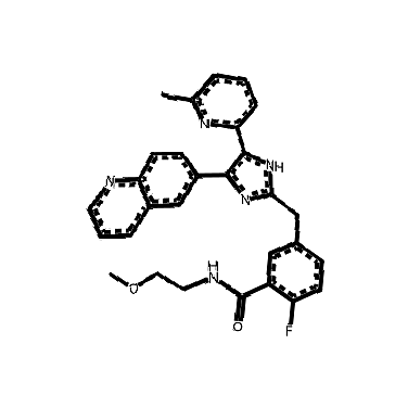 COCCNC(=O)c1cc(Cc2nc(-c3ccc4ncccc4c3)c(-c3cccc(C)n3)[nH]2)ccc1F